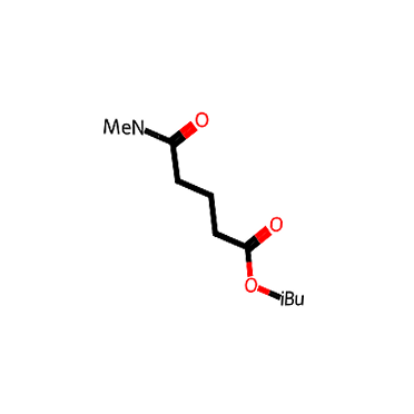 CCC(C)OC(=O)CCCC(=O)NC